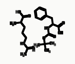 CC(C)(C)OC(=O)NC(Cc1ccccc1)C(=O)O.N=C(N)NCCCC(N)C(=O)O